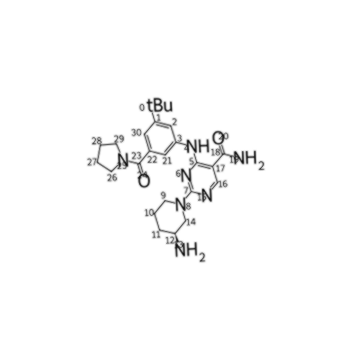 CC(C)(C)c1cc(Nc2nc(N3CCC[C@H](N)C3)ncc2C(N)=O)cc(C(=O)N2CCCC2)c1